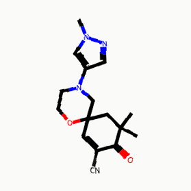 Cn1cc(N2CCOC3(C=C(C#N)C(=O)C(C)(C)C3)C2)cn1